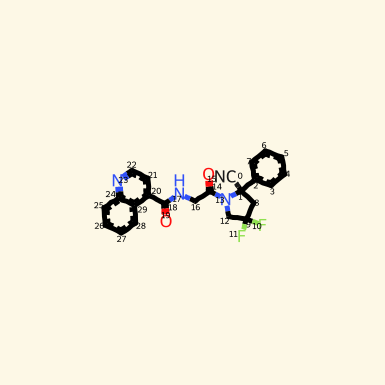 N#CC1(c2ccccc2)CC(F)(F)CN1C(=O)CNC(=O)c1ccnc2ccccc12